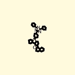 c1ccc(-c2nc(-c3ccccc3)nc(-c3ccc(-n4c5ccccc5c5c6oc7ccc8ccccc8c7c6ccc54)cc3)n2)cc1